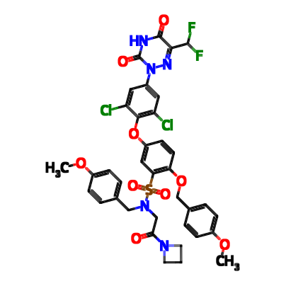 COc1ccc(COc2ccc(Oc3c(Cl)cc(-n4nc(C(F)F)c(=O)[nH]c4=O)cc3Cl)cc2S(=O)(=O)N(CC(=O)N2CCC2)Cc2ccc(OC)cc2)cc1